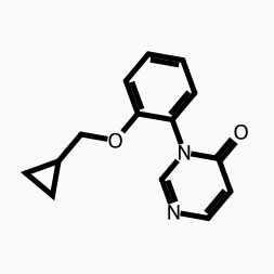 O=c1ccncn1-c1ccccc1OCC1CC1